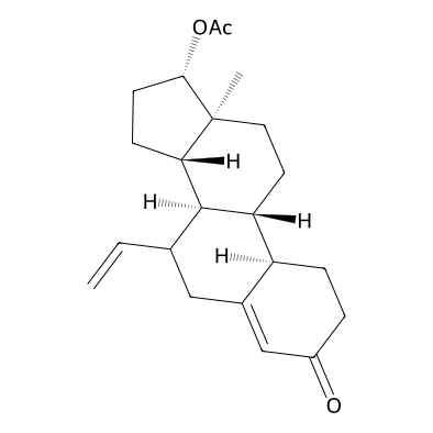 C=CC1CC2=CC(=O)CC[C@@H]2[C@H]2CC[C@]3(C)[C@@H](OC(C)=O)CC[C@H]3[C@H]12